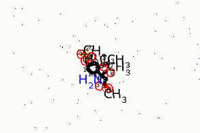 COC(=O)CC(N)(C(=O)OC(C)(C)C)c1ccc(OS(C)(=O)=O)cc1